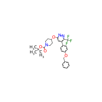 CC(C)(C)OC(=O)N1CCC(Oc2cc(-c3ccc(OCc4ccccc4)cc3)c(C(F)(F)F)nn2)CC1